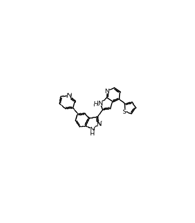 c1cncc(-c2ccc3[nH]nc(-c4cc5c(-c6cccs6)ccnc5[nH]4)c3c2)c1